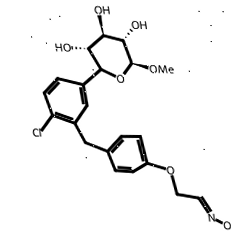 CON=CCOc1ccc(Cc2cc(C3O[C@H](OC)[C@@H](O)[C@H](O)[C@H]3O)ccc2Cl)cc1